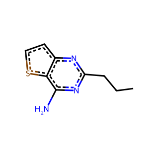 CCCc1nc(N)c2sccc2n1